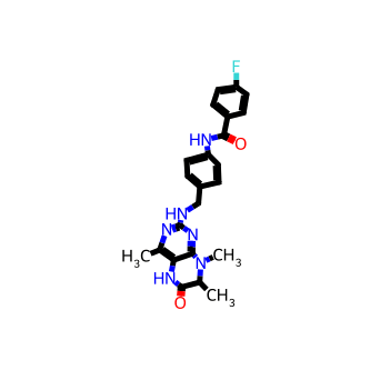 Cc1nc(NCc2ccc(NC(=O)c3ccc(F)cc3)cc2)nc2c1NC(=O)C(C)N2C